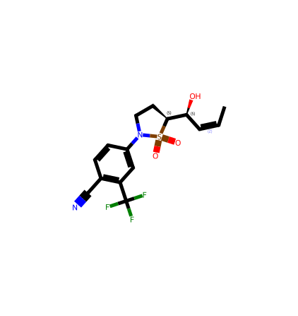 C/C=C\[C@H](O)[C@@H]1CCN(c2ccc(C#N)c(C(F)(F)F)c2)S1(=O)=O